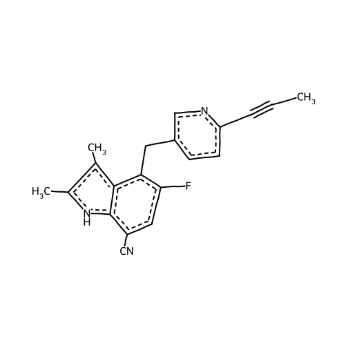 CC#Cc1ccc(Cc2c(F)cc(C#N)c3[nH]c(C)c(C)c23)cn1